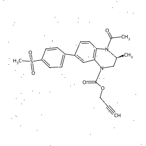 C#CCOC(=O)N1C[C@H](C)N(C(C)=O)c2ccc(-c3ccc(S(C)(=O)=O)cc3)cc21